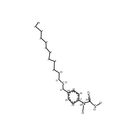 CCCCCCCCCCCCSCc1ccc(N(C)C(=S)SC)cc1